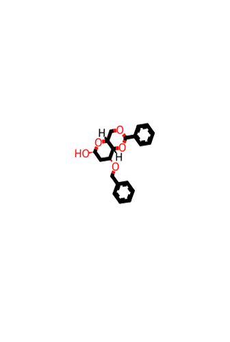 O[C@H]1C[C@@H](OCc2ccccc2)[C@@H]2OC(c3ccccc3)OC[C@H]2O1